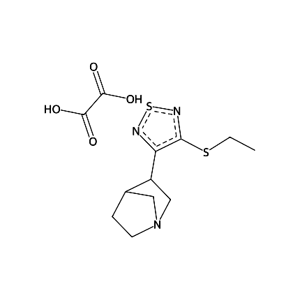 CCSc1nsnc1C1CN2CCC1C2.O=C(O)C(=O)O